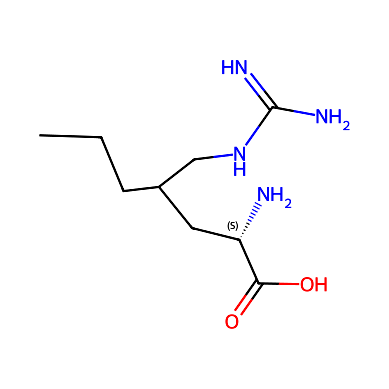 CCCC(CNC(=N)N)C[C@H](N)C(=O)O